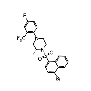 C[C@@H]1CN(c2ccc(F)cc2C(F)(F)F)CCN1S(=O)(=O)c1ccc(Br)c2ccccc12